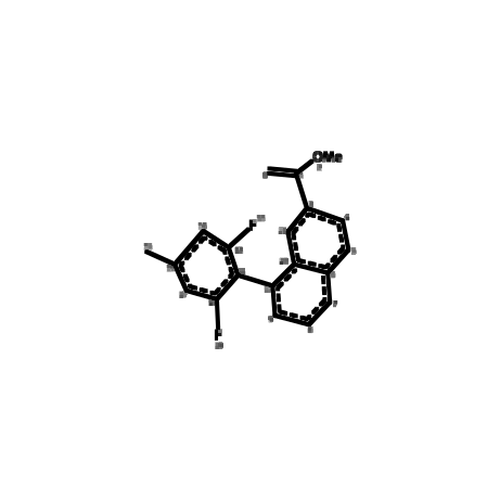 C=C(OC)c1ccc2cccc(-c3c(F)cc(C)cc3F)c2c1